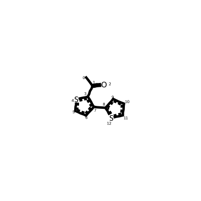 CC(=O)c1sccc1-c1cccs1